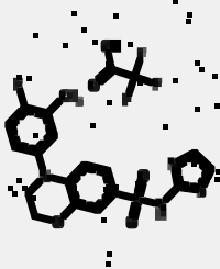 Cc1cc(N2CCOc3cc(S(=O)(=O)Nc4nccs4)ccc32)ccc1F.O=C(O)C(F)(F)F